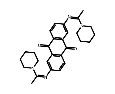 CC(=Nc1ccc2c(c1)C(=O)c1ccc(N=C(C)N3CCCCC3)cc1C2=O)N1CCCCC1